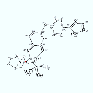 CC(C)(O)C(=O)N1CC2CCC(C1)N2Cc1ccc2cc(Oc3ccc(-c4ccn[nH]4)cn3)ccc2n1